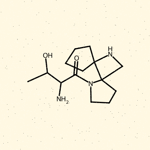 CC(O)C(N)C(=O)N1CCCC12CNC21CCCC1